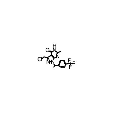 Cc1nc2c(c(CCl)nn2C(C)c2ccc(C(F)(F)F)cc2)c(=O)[nH]1